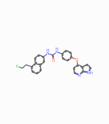 O=C(Nc1ccc(Oc2ccnc3[nH]ccc23)cc1)Nc1ccc2c(CCF)cccc2c1